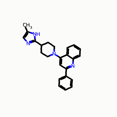 Cc1cnc(C2CCN(c3cc(-c4ccccc4)nc4ccccc34)CC2)[nH]1